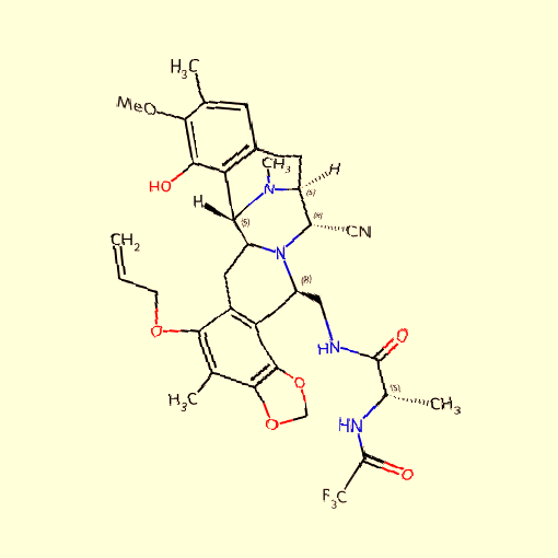 C=CCOc1c(C)c2c(c3c1CC1[C@@H]4c5c(cc(C)c(OC)c5O)C[C@@H]([C@H](C#N)N1[C@H]3CNC(=O)[C@H](C)NC(=O)C(F)(F)F)N4C)OCO2